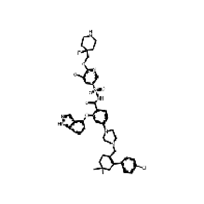 CC1(C)CCC(CN2CCN(c3ccc(C(=O)NS(=O)(=O)c4cnc(OCC5(F)CCNCC5)c(Cl)c4)c(Oc4cccc5[nH]ncc45)c3)CC2)=C(c2ccc(Cl)cc2)C1